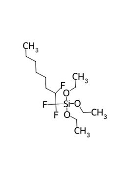 CCCCCCC(F)C(F)(F)[Si](OCC)(OCC)OCC